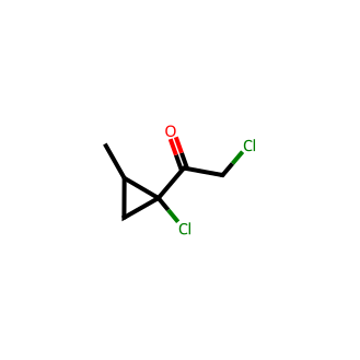 CC1CC1(Cl)C(=O)CCl